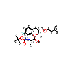 CC(C)CCOC[C@@H](Cc1ccc(F)cc1)[C@H](C)OC(=O)[C@H](C)NC(=O)OC(C)(C)C